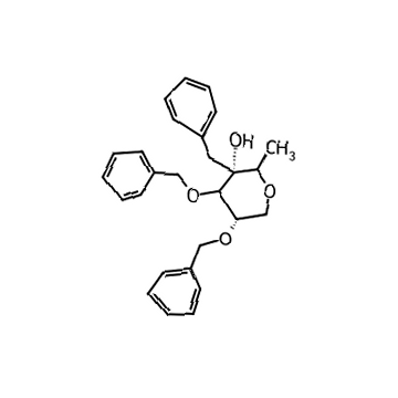 CC1OC[C@H](OCc2ccccc2)C(OCc2ccccc2)[C@@]1(O)Cc1ccccc1